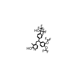 Cc1c(CC(c2ccc(C(O)(C(F)(F)F)C(F)(F)F)cc2)c2ccc(OC(F)F)c(OC(F)F)c2)ccnc1O